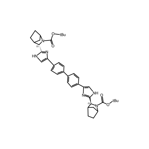 CC(C)(C)OC(=O)N1C2CCC(C2)[C@H]1c1nc(-c2ccc(-c3ccc(-c4c[nH]c([C@@H]5C6CCC(C6)N5C(=O)OC(C)(C)C)n4)cc3)cc2)c[nH]1